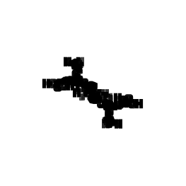 Cc1c(COc2cc(OCc3cncc(C#N)c3)c(CNC[C@@H](O)CC(=O)O)cc2Cl)cccc1-c1cccc(COc2cc(OCc3cncc(C#N)c3)c(CNC[C@@H](O)CC(=O)O)cc2Cl)c1C